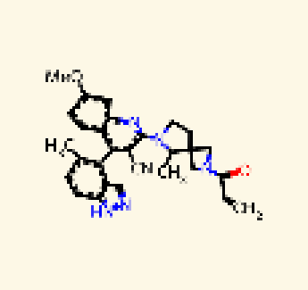 C=CC(=O)N1CC2(CCN(c3nc4cc(OC)ccc4c(-c4c(C)ccc5[nH]ncc45)c3C#N)C2C)C1